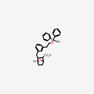 CC(C)(C)[Si](OCCc1cccc(CC2C(C(=O)O)C3CC[C@@H]2O3)c1)(c1ccccc1)c1ccccc1